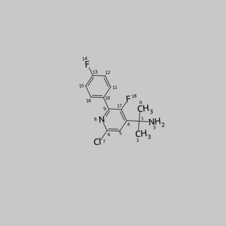 CC(C)(N)c1cc(Cl)nc(-c2ccc(F)cc2)c1F